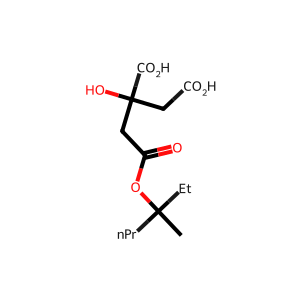 CCCC(C)(CC)OC(=O)CC(O)(CC(=O)O)C(=O)O